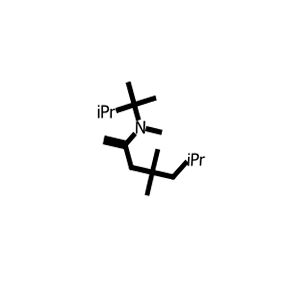 C=C(CC(C)(C)CC(C)C)N(C)C(C)(C)C(C)C